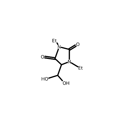 CCN1C(=O)C(C(O)O)N(CC)C1=O